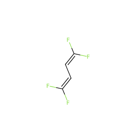 FC(F)=CC=C(F)F